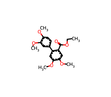 CCOC(=O)c1cc(OC)c(OC)cc1-c1ccc(OC)c(OC)c1